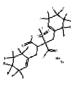 O=C([O-])C(CC1=CC(F)(F)C(F)(F)C(F)(F)C1(F)F)C(CC1=CC(F)(F)C(F)(F)C(F)(F)C1(F)F)(C(=O)[O-])S(=O)(=O)O.[Na+].[Na+]